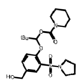 CC(C)(C)C(OC(=O)N1CCCCC1)Oc1ccc(CO)cc1S(=O)(=O)N1CCCC1